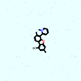 Cc1cc(C#N)c2c(c1)oc1c(-c3cccc[n+]3C)c(C)ccc12